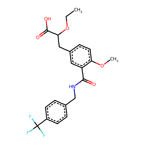 CCOC(Cc1ccc(OC)c(C(=O)NCc2ccc(C(F)(F)F)cc2)c1)C(=O)O